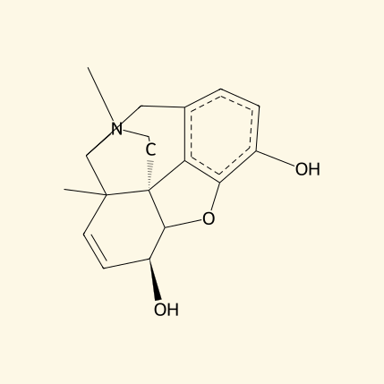 CN1CC[C@]23c4c5ccc(O)c4OC2[C@@H](O)C=CC3(C)C1C5